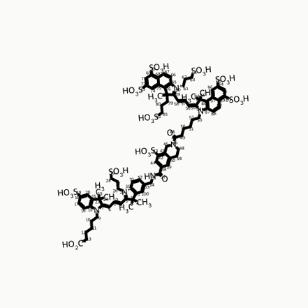 CC1(C)C(/C=C/C=C2/N(CCCCCC(=O)O)c3ccc(S(=O)(=O)O)cc3C2(C)C)=[N+](CCCS(=O)(=O)O)c2ccc(CNC(=O)c3cc4c(c(S(=O)(=O)O)c3)CN(C(=O)CCCCCN3/C(=C/C=C/C5=[N+](CCCS(=O)(=O)O)c6ccc7c(S(=O)(=O)O)cc(S(=O)(=O)O)cc7c6C5(C)CCCS(=O)(=O)O)C(C)(C)c5c3ccc3c(S(=O)(=O)O)cc(S(=O)(=O)O)cc53)CC4)cc21